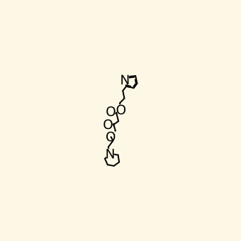 O=C(COCCN1CCCCC1)CC(=O)OCCCc1ccccn1